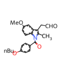 CCCCOc1ccc(C(=O)n2c(C)c(CC=O)c3cc(OC)ccc32)cc1